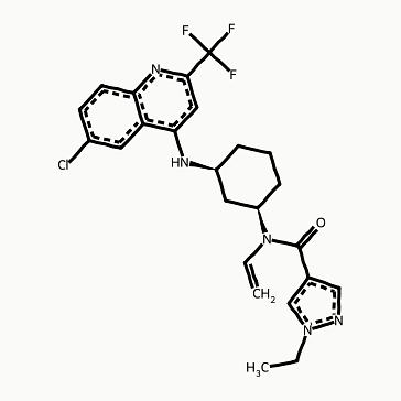 C=CN(C(=O)c1cnn(CC)c1)[C@@H]1CCC[C@H](Nc2cc(C(F)(F)F)nc3ccc(Cl)cc23)C1